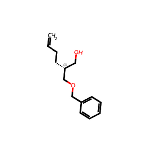 C=CCC[C@H](CO)COCc1ccccc1